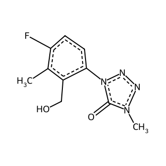 Cc1c(F)ccc(-n2nnn(C)c2=O)c1CO